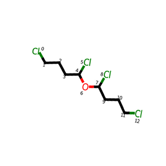 ClCCCC(Cl)OC(Cl)CCCCl